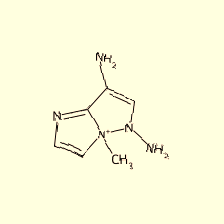 C[N+]12C=CN=C1C(N)=CN2N